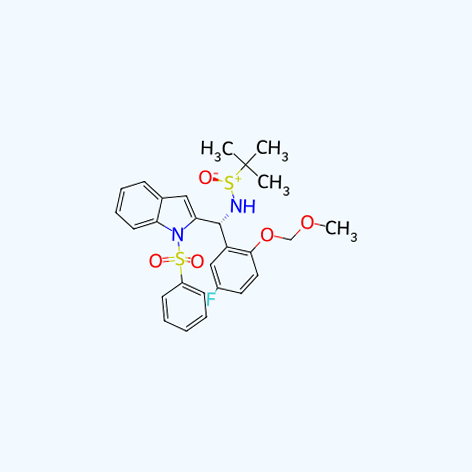 COCOc1ccc(F)cc1[C@@H](N[S@@+]([O-])C(C)(C)C)c1cc2ccccc2n1S(=O)(=O)c1ccccc1